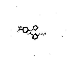 NC(=O)c1ccc2c(c1)nc(-c1cccc(C(=O)O)c1)n2C1CCCC1